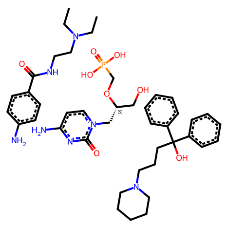 CCN(CC)CCNC(=O)c1ccc(N)cc1.Nc1ccn(C[C@@H](CO)OCP(=O)(O)O)c(=O)n1.OC(CCCN1CCCCC1)(c1ccccc1)c1ccccc1